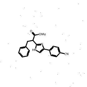 COC(=O)C(Cc1ccccc1)c1nc(-c2ccc(C#N)cc2)c[nH]1